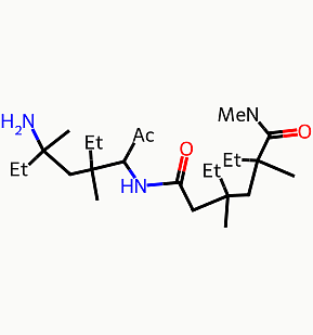 CCC(C)(N)CC(C)(CC)C(NC(=O)CC(C)(CC)CC(C)(CC)C(=O)NC)C(C)=O